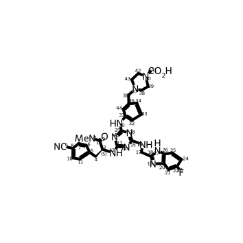 CNC(=O)[C@H](Cc1ccc(C#N)cc1)Nc1nc(NCc2nc3cc(F)ccc3[nH]2)nc(Nc2cccc(CN3CCN(C(=O)O)CC3)c2)n1